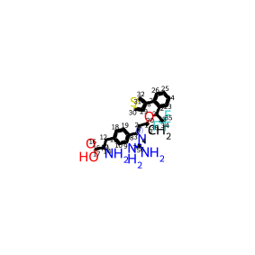 C=C(/C=C(\N=C(N)N)c1ccc(C[C@H](N)C(=O)O)cc1)OC(c1ccccc1-c1ccsc1)C(F)(F)F